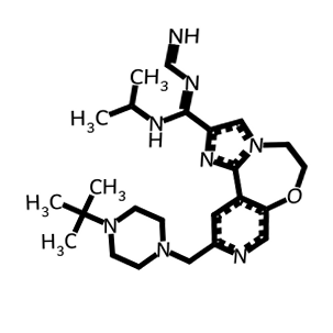 CC(C)N/C(=N\C=N)c1cn2c(n1)-c1cc(CN3CCN(C(C)(C)C)CC3)ncc1OCC2